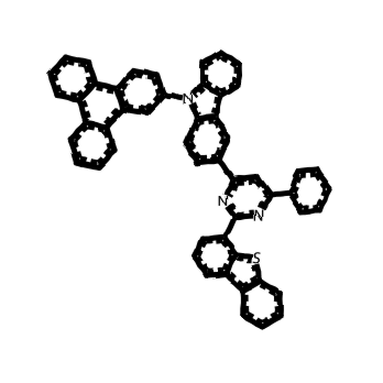 c1ccc(-c2cc(-c3ccc4c(c3)c3ccccc3n4-c3ccc4c5ccccc5c5ccccc5c4c3)nc(-c3cccc4c3sc3ccccc34)n2)cc1